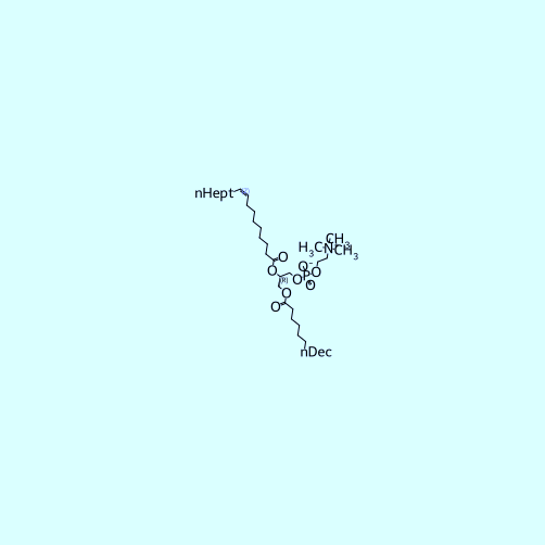 CCCCCCC/C=C\CCCCCCCC(=O)O[C@H](COC(=O)CCCCCCCCCCCCCCC)COP(=O)([O-])OCC[N+](C)(C)C